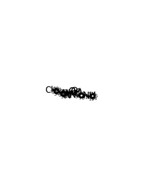 COC(=O)[C@H](Cc1ccc(NCc2ccccc2)cc1)NC(=O)c1cn2cc(-c3ccc(Cl)cc3)ccc2n1